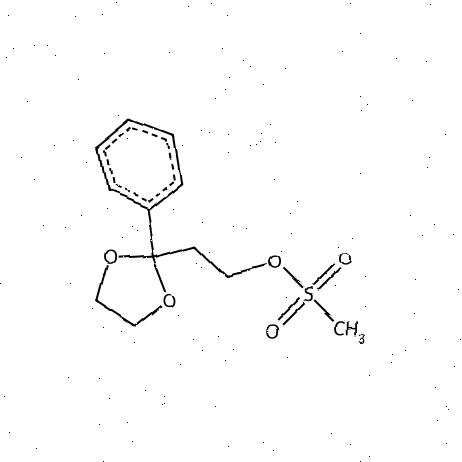 CS(=O)(=O)OCCC1(c2ccccc2)OCCO1